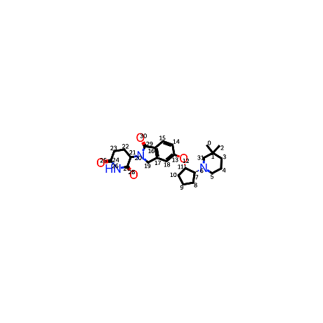 CC1(C)CCCN([C@@H]2CCC[C@@H]2Oc2ccc3c(c2)CN(C2CCC(=O)NC2=O)C3=O)C1